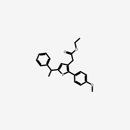 CCOC(=O)Cc1cc(C(C)c2ccccc2)sc1-c1ccc(OC)cc1